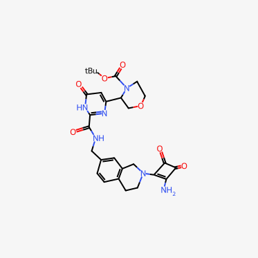 CC(C)(C)OC(=O)N1CCOCC1c1cc(=O)[nH]c(C(=O)NCc2ccc3c(c2)CN(c2c(N)c(=O)c2=O)CC3)n1